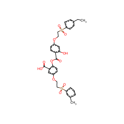 CCc1ccc(S(=O)(=O)CCOc2ccc(C(=O)Oc3ccc(OCCS(=O)(=O)c4cccc(C)c4)cc3C(=O)O)c(O)c2)cc1